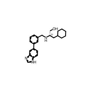 OC[C@H](CC1CCCCC1)NCc1cccc(-c2ccc3[nH]cnc3c2)c1